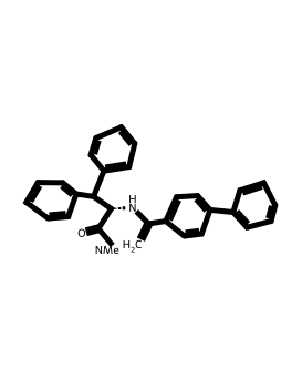 C=C(N[C@H](C(=O)NC)C(c1ccccc1)c1ccccc1)c1ccc(-c2ccccc2)cc1